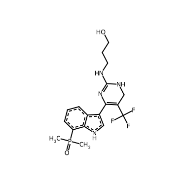 CP(C)(=O)c1cccc2c(C3=C(C(F)(F)F)CNC(NCCCO)=N3)c[nH]c12